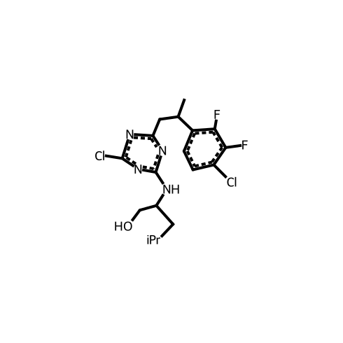 CC(C)CC(CO)Nc1nc(Cl)nc(CC(C)c2ccc(Cl)c(F)c2F)n1